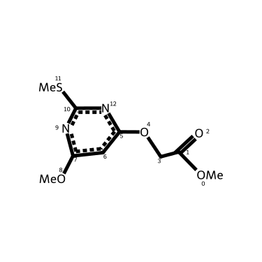 COC(=O)COc1cc(OC)nc(SC)n1